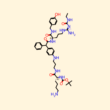 CCNC(=O)/N=C(/N)NCCC[C@@H](NC(=O)C(c1ccccc1)c1ccc(NCCCNC(=O)[C@@H](CCCCN)NC(=O)OC(C)(C)C)cc1)C(=O)NCc1ccc(O)cc1